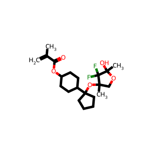 C=C(C)C(=O)OC1CCC(C2(OC3(C)COC(C)(O)C3(F)F)CCCC2)CC1